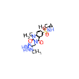 CN1NNN=C1Cn1c(=O)c2cc(S(=O)(=O)NC3(C)CC3)ccc2n(C)c1=O